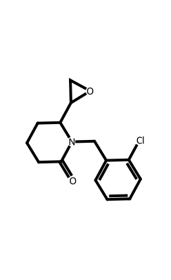 O=C1CCCC(C2CO2)N1Cc1ccccc1Cl